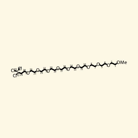 COCCOCCOCCOCCOCCOCCOCCOCCOCCOCCS(Cl)(Cl)Cl